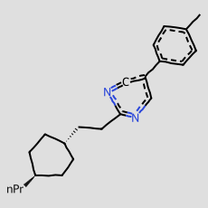 CCC[C@H]1CC[C@H](CCc2ncc(-c3ccc(C)cc3)cn2)CC1